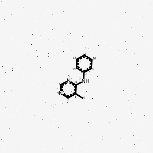 Cc1[c]ncnc1Nc1ccccc1